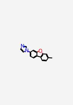 Cc1ccc2c(c1)oc1cc(-n3ccnc3)ccc12